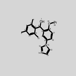 Cc1cc(C)c(C(O)c2cc(-n3ccnc3)ccc2OC(C)C)c(C)c1